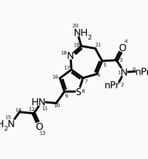 CCCN(CCC)C(=O)C1=Cc2sc(CNC(=O)CN)cc2N=C(N)C1